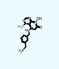 Cc1ncnc2c1c(NCc1cccc(CN)c1)cc(=O)n2O